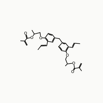 C=C(C)C(=O)OC(C)COc1ccc(Cc2ccc(OCC(C)OC(=O)C(=C)C)c(C=CC)c2)cc1C=CC